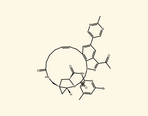 CC(=O)c1nn2c3c(cc(-c4cnc(C)nc4)cc13)CC=CCCCC(=O)NC[C@@]13C[C@@H](C(=O)Nc4cc(C)cc(Br)n4)N(C(=O)C2)[C@@H]1C3